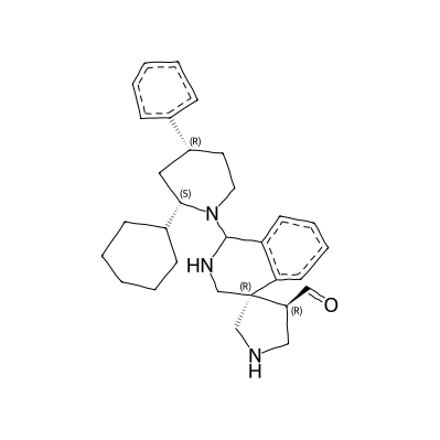 O=C[C@H]1CNC[C@@]12CNC(N1CC[C@@H](c3ccccc3)C[C@H]1C1CCCCC1)c1ccccc12